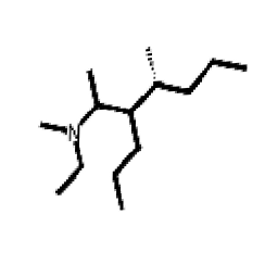 CCCC(C(C)N(C)CC)[C@H](C)CCC